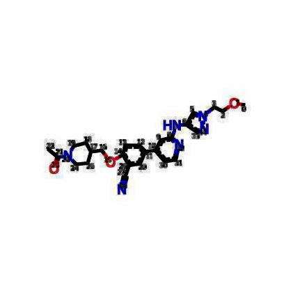 COCCn1cc(Nc2cc(-c3ccc(OCC4CCN(C(C)=O)CC4)c(C#N)c3)ccn2)cn1